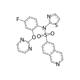 O=S(=O)(c1ccc2cnccc2c1)N(c1nccs1)c1ccc(F)cc1Oc1ncccn1